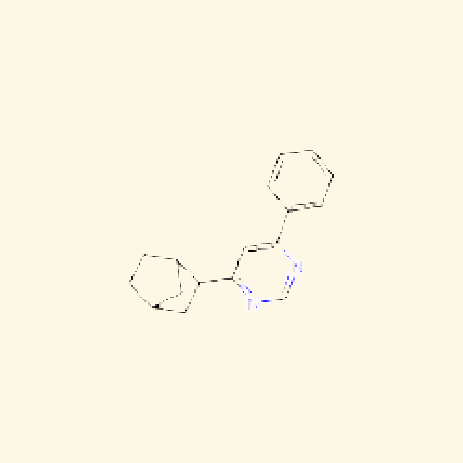 c1ccc(-c2cc(C3CC4CCC3C4)ncn2)cc1